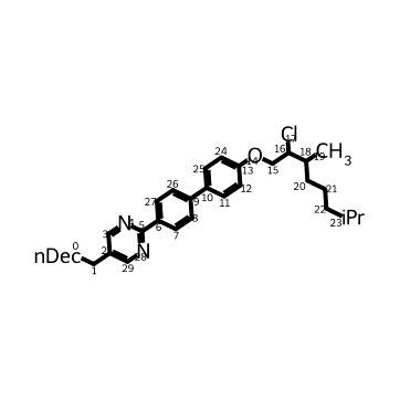 CCCCCCCCCCCc1cnc(-c2ccc(-c3ccc(OCC(Cl)C(C)CCCC(C)C)cc3)cc2)nc1